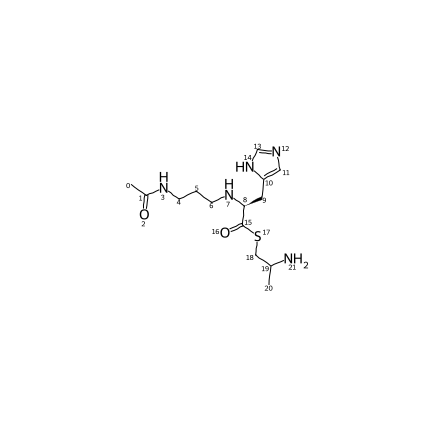 CC(=O)NCCCN[C@@H](Cc1cnc[nH]1)C(=O)SCC(C)N